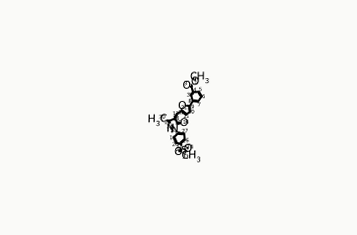 COC(=O)c1cccc(-c2ccc(/C=C3\C(=O)N(c4ccc(S(C)(=O)=O)cc4)N=C3C)o2)c1